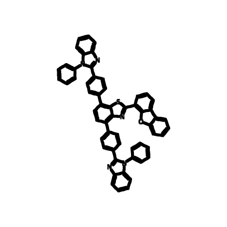 c1ccc(-n2c(-c3ccc(-c4ccc(-c5ccc(-c6nc7ccccc7n6-c6ccccc6)cc5)c5sc(-c6cccc7c6oc6ccccc67)nc45)cc3)nc3ccccc32)cc1